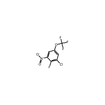 O=[N+]([O-])c1cc(OC(F)(F)F)cc(Cl)c1F